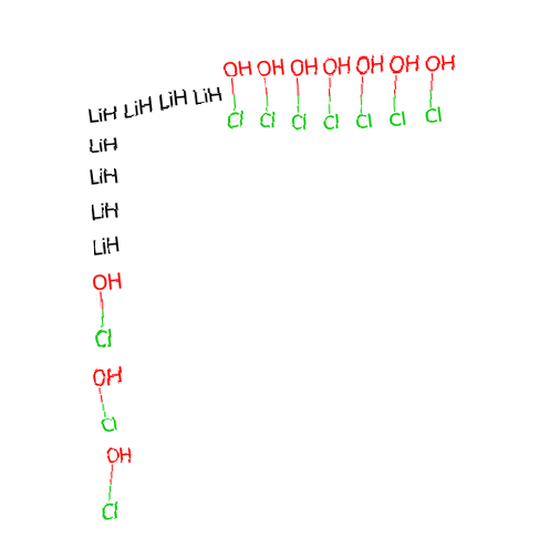 OCl.OCl.OCl.OCl.OCl.OCl.OCl.OCl.OCl.OCl.[LiH].[LiH].[LiH].[LiH].[LiH].[LiH].[LiH].[LiH]